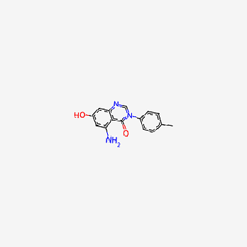 Cc1ccc(-n2cnc3cc(O)cc(N)c3c2=O)cc1